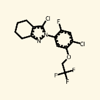 Fc1cc(Cl)c(OCC(F)(F)F)cc1-n1nc2c(c1Cl)CCCC2